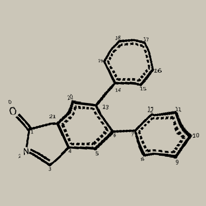 O=C1N=Cc2cc(-c3ccccc3)c(-c3ccccc3)cc21